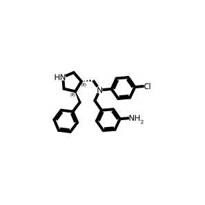 Nc1cccc(CN(C[C@H]2CNC[C@@H]2Cc2ccccc2)c2ccc(Cl)cc2)c1